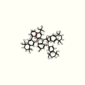 Cc1cc2c3c(c1)N(c1ccc4c(c1)C(C)(C)CCC4(C)C)c1c(oc4cc5c(cc14)C(C)(C)CCC5(C)C)B3c1cc(C(C)(C)C)ccc1N2c1cc2c(cc1-c1ccccc1)C(C)(C)CCC2(C)C